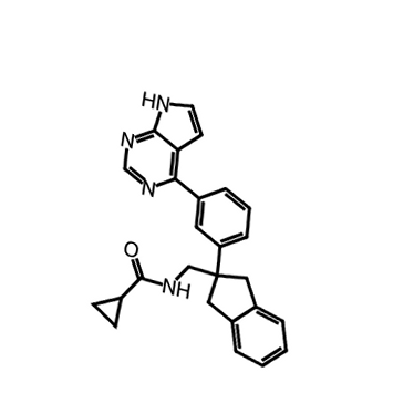 O=C(NCC1(c2cccc(-c3ncnc4[nH]ccc34)c2)Cc2ccccc2C1)C1CC1